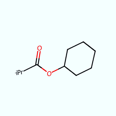 C[C](C)C(=O)OC1CCCCC1